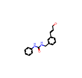 [O]CC=Cc1cccc(CNC(=O)Nc2ccccc2)c1